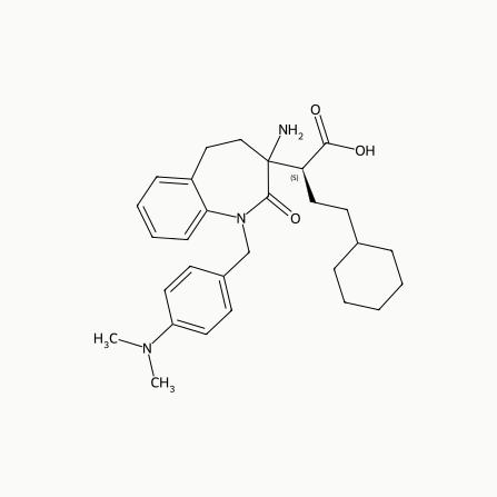 CN(C)c1ccc(CN2C(=O)C(N)([C@H](CCC3CCCCC3)C(=O)O)CCc3ccccc32)cc1